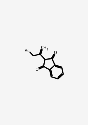 C=C(CC(C)=O)C1C(=O)c2ccccc2C1=O